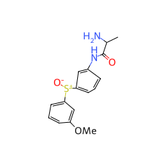 COc1cccc([S+]([O-])c2cccc(NC(=O)C(C)N)c2)c1